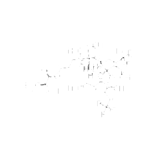 C=C(C)C(=O)OCCC[Si](C)(C)C(C)(CC)O[Si](C)(CCC(F)(F)F)C(C)(CCC)O[Si](C)(CCCC)CCC(F)(F)F